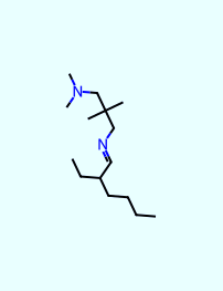 CCCCC(C=NCC(C)(C)CN(C)C)CC